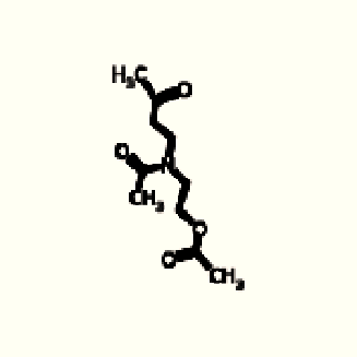 CC(=O)CCN(CCOC(C)=O)C(C)=O